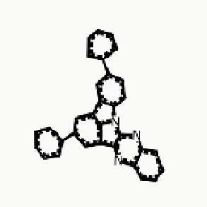 c1ccc(-c2ccc3c(c2)c2cc(-c4ccccc4)cc4c5nc6ccccc6nc5n3c24)cc1